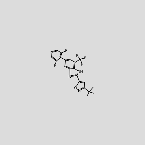 CC(C)(C)c1cc(-c2nc3cc(-c4c(F)cccc4F)cc(C(F)(F)F)c3[nH]2)on1